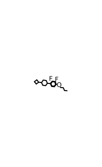 CCCCOc1ccc(C2CCC(C3CCC3)CC2)c(F)c1F